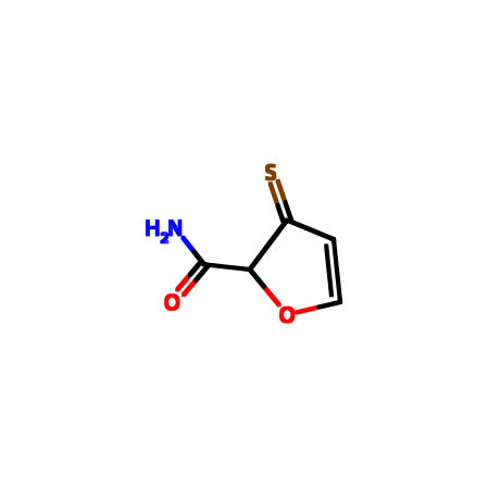 NC(=O)C1OC=CC1=S